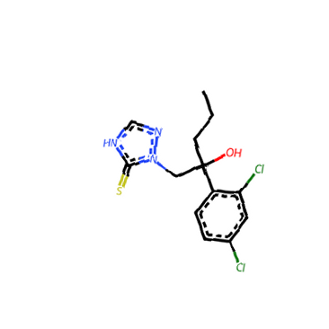 CCCC(O)(Cn1nc[nH]c1=S)c1ccc(Cl)cc1Cl